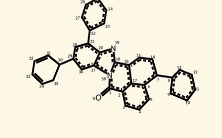 O=c1c2cccc3c(-c4ccccc4)ccc(c32)c2nc3c(-c4ccccc4)cc(C4C=CC=CC4)cc3n12